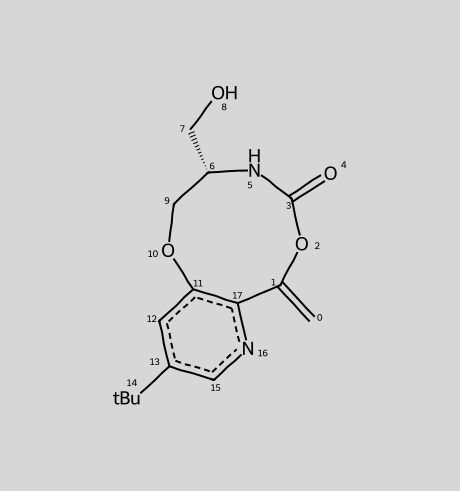 C=C1OC(=O)N[C@@H](CO)COc2cc(C(C)(C)C)cnc21